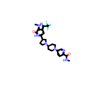 CNC(=O)c1ccc(N2CCC(N3CCC(c4cc5c(C(F)(F)F)nn(C)c5c(=O)[nH]4)C3)CC2)cn1